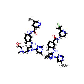 CNc1cc(-n2nc(C)cc2Nc2cc(C(=O)Nc3ccnc(C(C)(C)F)c3)ccc2C)ncn1.CNc1cc(-n2nc(CN(C)CCO)cc2Nc2cc(NC(=O)c3cncc(C(C)(C)C)c3)ccc2C)ncn1